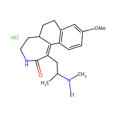 CCN(C)C(C)CC1=C2c3ccc(OC)cc3CCC2CCNC1=O.Cl